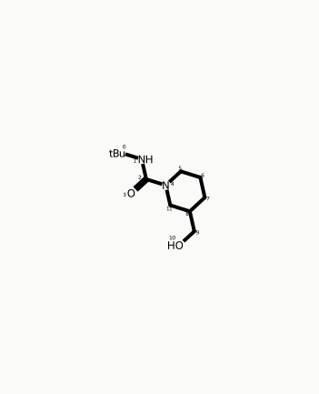 CC(C)(C)NC(=O)N1CCCC(CO)C1